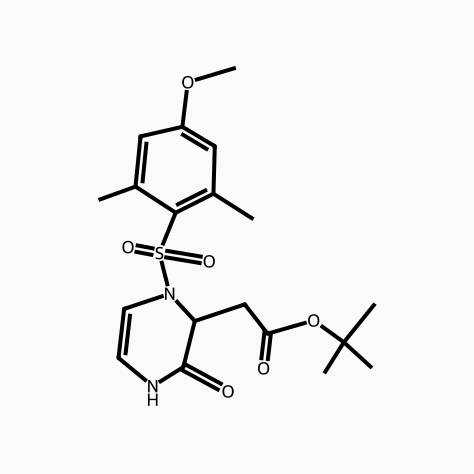 COc1cc(C)c(S(=O)(=O)N2C=CNC(=O)C2CC(=O)OC(C)(C)C)c(C)c1